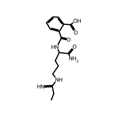 CCC(=N)NCCCC(NC(=O)c1ccccc1C(=O)O)C(N)=O